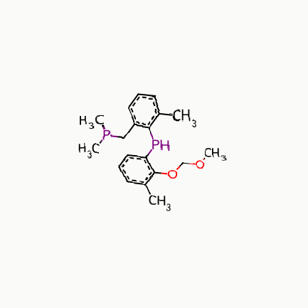 COCOc1c(C)cccc1Pc1c(C)cccc1CP(C)C